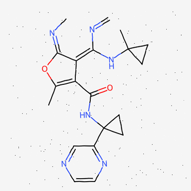 C=N/C(NC1(C)CC1)=C1/C(C(=O)NC2(c3cnccn3)CC2)=C(C)O/C1=N/C